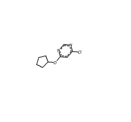 Clc1cc(OC2CCCC2)ncn1